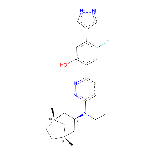 CCN(c1ccc(-c2cc(F)c(-c3cn[nH]c3)cc2O)nn1)[C@H]1C[C@]2(C)CC[C@](C)(C1)C2